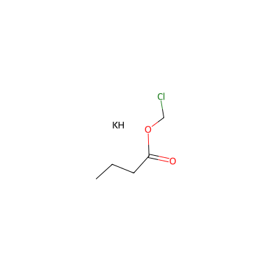 CCCC(=O)OCCl.[KH]